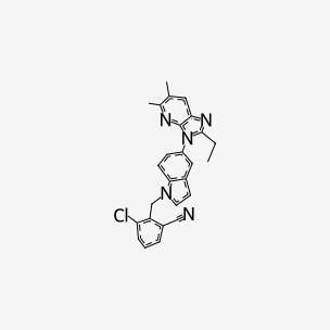 CCc1nc2cc(C)c(C)nc2n1-c1ccc2c(ccn2Cc2c(Cl)cccc2C#N)c1